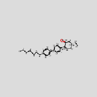 CCCCCCCc1ccc(-c2ccc([C@@H]3CC[C@@H](CC)CC3=O)cc2)cc1